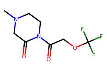 CN1CCN(C(=O)COC(F)(F)F)C(=O)C1